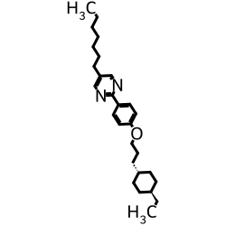 CCCCCCCc1cnc(-c2ccc(OCCC[C@H]3CC[C@H](CC)CC3)cc2)nc1